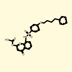 O=C(O)Oc1cc(=O)c2cccc(NS(=O)(=O)c3ccc(OCCCCc4ccccc4)cc3)c2o1